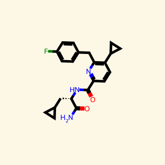 NC(=O)[C@H](CC1CC1)NC(=O)c1ccc(C2CC2)c(Cc2ccc(F)cc2)n1